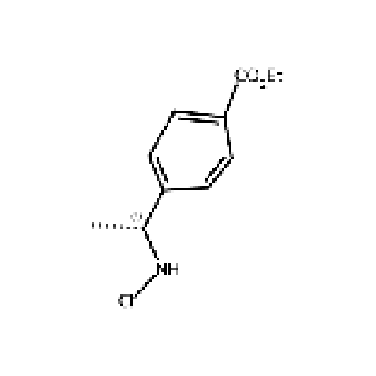 CCOC(=O)c1ccc([C@@H](C)NCl)cc1